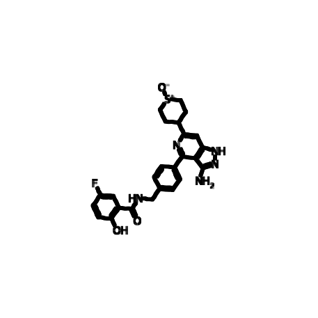 Nc1n[nH]c2cc(C3CC[S+]([O-])CC3)nc(-c3ccc(CNC(=O)c4cc(F)ccc4O)cc3)c12